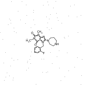 Cn1c(=O)c2c(nc(N3CCCNCC3)n2Cc2ccccc2F)n(C)c1=O